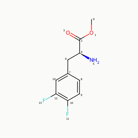 COC(=O)[C@@H](N)Cc1ccc(F)c(F)c1